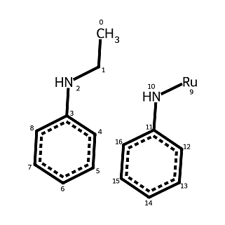 CCNc1ccccc1.[Ru][NH]c1ccccc1